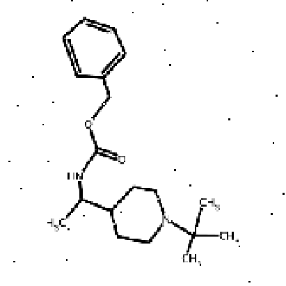 CC(NC(=O)OCc1ccccc1)C1CCN(C(C)(C)C)CC1